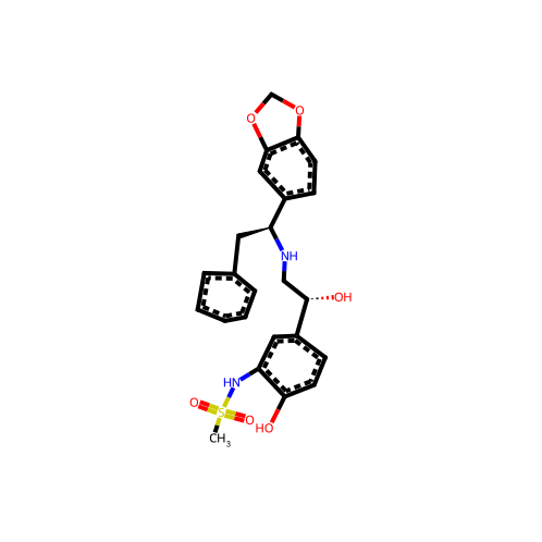 CS(=O)(=O)Nc1cc([C@@H](O)CN[C@@H](Cc2ccccc2)c2ccc3c(c2)OCO3)ccc1O